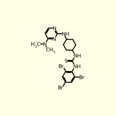 CN(C)c1ccnc(NC2CCC(NC(=S)Nc3c(Br)cc(Br)cc3Br)CC2)n1